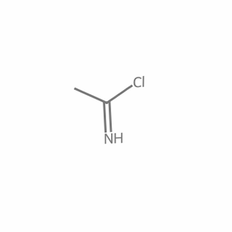 CC(=N)Cl